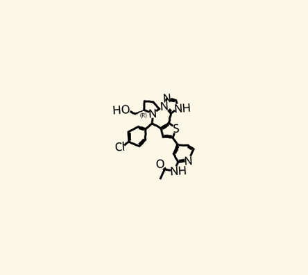 CC(=O)Nc1cc(-c2cc(C(c3ccc(Cl)cc3)N3CCC[C@@H]3CO)c(-c3nnc[nH]3)s2)ccn1